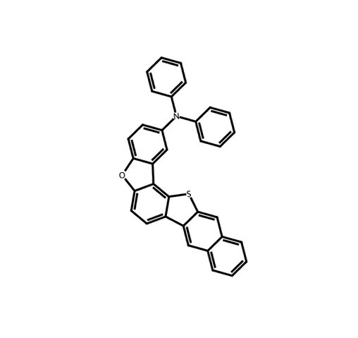 c1ccc(N(c2ccccc2)c2ccc3oc4ccc5c6cc7ccccc7cc6sc5c4c3c2)cc1